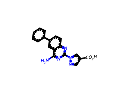 Nc1nc(-n2cc(C(=O)O)cn2)nc2ccc(-c3ccccc3)cc12